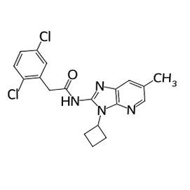 Cc1cnc2c(c1)nc(NC(=O)Cc1cc(Cl)ccc1Cl)n2C1CCC1